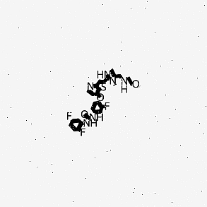 COCCNCC1=CNC(c2cc3nccc(Oc4ccc(NC(=O)Nc5cc(F)ccc5F)cc4F)c3s2)N1C